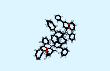 Cc1ccc(-c2ccccc2)cc1N(c1ccccc1-c1ccccc1)c1cc(-c2ccccc2)c2ccc3c(N(c4cc(-c5ccccc5)ccc4C)c4ccccc4-c4ccccc4)cc(-c4ccccc4)c4ccc1c2c43